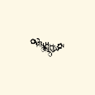 CC[C@@H](CNCC(=O)N[C@@H](C)C(=O)NCc1cc2cnccc2[nH]1)Oc1ccccc1